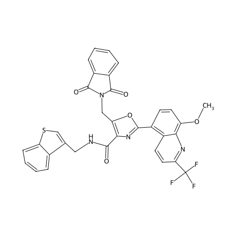 COc1ccc(-c2nc(C(=O)NCc3csc4ccccc34)c(CN3C(=O)c4ccccc4C3=O)o2)c2ccc(C(F)(F)F)nc12